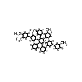 Cc1cccc(-c2c(-c3ccc(-c4ccc(F)c(C)c4)cc3)c(-c3ccccc3)c(-c3ccccc3)c(-c3ccc(-c4ccc(C)c(C(F)(F)F)c4)cc3)c2-c2cccc(C(F)(F)F)c2)c1